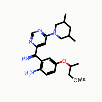 COCC(C)Oc1ccc(N)c(C(=N)c2cc(N3CC(C)CC(C)C3)ncn2)c1